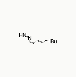 CCC(C)CC=C/C=C\N=N